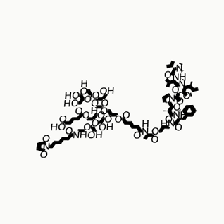 CC[C@H](C)[C@@H]([C@@H](CC(=O)N1CCC[C@H]1[C@H](OC)[C@@H](C)C(=O)N[C@@H](Cc1ccccc1)C(=O)NCCCOC(=O)C(C)NC(=O)CCCCC(=O)OCC(COC(CO)OC(CO)COC(CO)OC(CO)CO)OC(CO)OCC(COC(=O)CCCC(=O)O)OC(CO)OCCNC(=O)CCCCCN1C(=O)C=CC1=O)OC)N(C)C(=O)[C@@H](NC(=O)[C@H](C(C)C)N(C)C)C(C)C